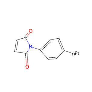 [CH2]CCc1ccc(N2C(=O)C=CC2=O)cc1